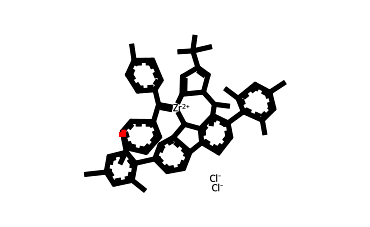 Cc1ccc([C](c2ccc(C)cc2)=[Zr+2]([C]2=CC(C(C)(C)C)=CC2C(C)C)[CH]2c3cc(-c4c(C)cc(C)cc4C)ccc3-c3ccc(-c4c(C)cc(C)cc4C)cc32)cc1.[Cl-].[Cl-]